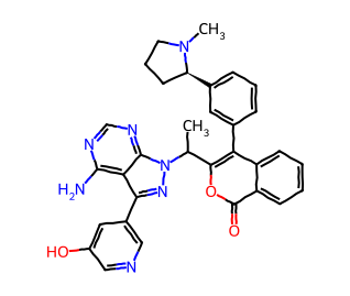 CC(c1oc(=O)c2ccccc2c1-c1cccc([C@H]2CCCN2C)c1)n1nc(-c2cncc(O)c2)c2c(N)ncnc21